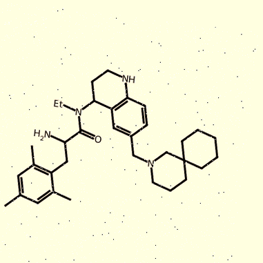 CCN(C(=O)C(N)Cc1c(C)cc(C)cc1C)C1CCNc2ccc(CN3CCCC4(CCCCC4)C3)cc21